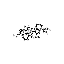 CC1=CC2=C(C=CC=CC2C(C)C)C1[Si](C)(C)C1C(C)=CC2=C1C=CC=CC2C(C)C